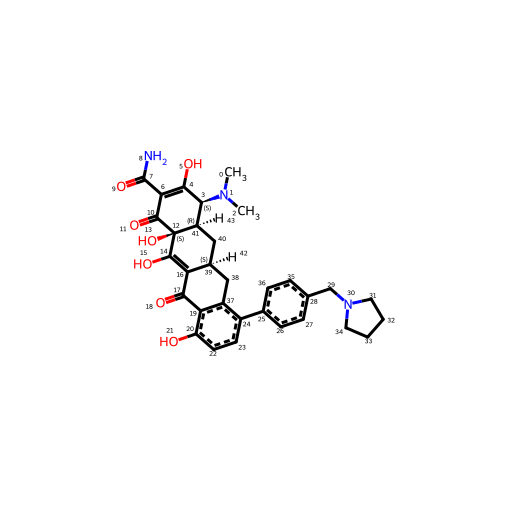 CN(C)[C@@H]1C(O)=C(C(N)=O)C(=O)[C@@]2(O)C(O)=C3C(=O)c4c(O)ccc(-c5ccc(CN6CCCC6)cc5)c4C[C@@H]3C[C@H]12